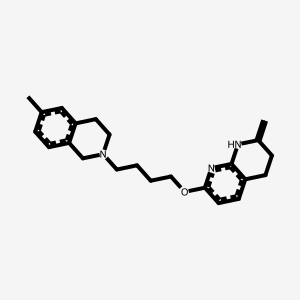 C=C1CCc2ccc(OCCCCN3CCc4cc(C)ccc4C3)nc2N1